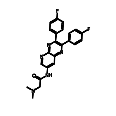 CN(C)CC(=O)Nc1cnc2nc(-c3ccc(F)cc3)c(-c3ccc(F)cc3)nc2c1